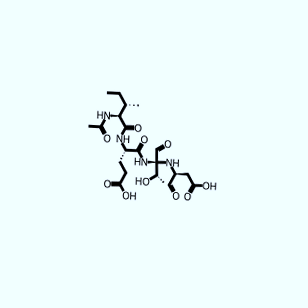 CC[C@H](C)[C@H](NC(C)=O)C(=O)N[C@@H](CCC(=O)O)C(=O)N[C@@](C=O)(N[C@H](C=O)CC(=O)O)[C@H](C)O